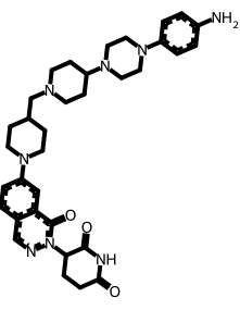 Nc1ccc(N2CCN(C3CCN(CC4CCN(c5ccc6cnn(C7CCC(=O)NC7=O)c(=O)c6c5)CC4)CC3)CC2)cc1